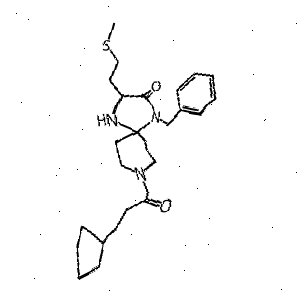 CSCCC1NC2(CCN(C(=O)CCC3CCCC3)CC2)N(Cc2ccccc2)C1=O